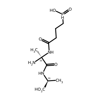 C[C@H](NC(=O)[C@@](C)(N)NC(=O)CCC[PH](=O)O)C(=O)O